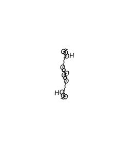 C=C(C)C(=O)OCC(O)CCCCCCOc1ccc(OC(=O)c2ccc(OCCCCCCC(O)COC(=O)C(=C)C)cc2)cc1